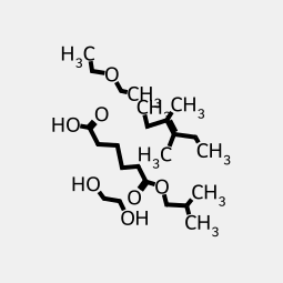 CC(C)COC(=O)CCCCC(=O)O.CC/C(C)=C(\C)CC.CCOCC.OCCO